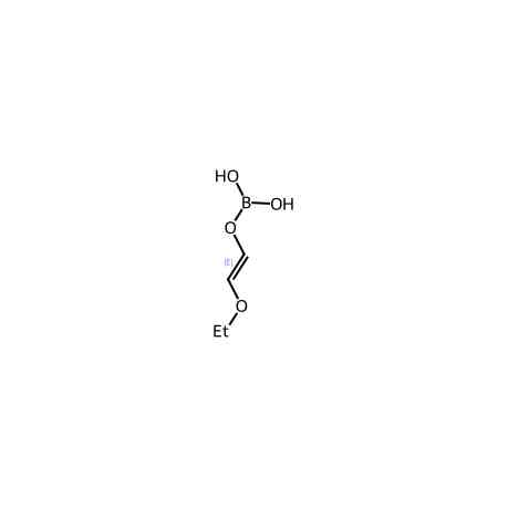 CCO/C=C/OB(O)O